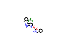 Cc1ccccc1-c1nn(C)c2nc(OCC(=O)N[C@@H](C)c3ccccc3)cc(C(F)(F)F)c12